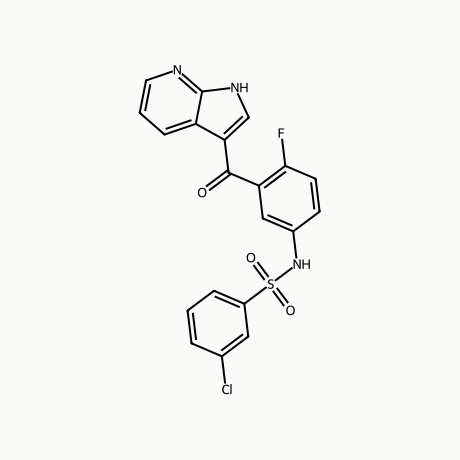 O=C(c1cc(NS(=O)(=O)c2cccc(Cl)c2)ccc1F)c1c[nH]c2ncccc12